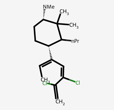 C=C(Cl)/C(Cl)=C\C(=C/C)[C@@H]1CC[C@H](NC)C(C)(C)C1CCC